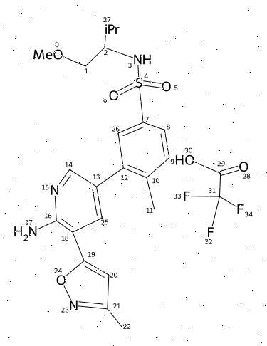 COCC(NS(=O)(=O)c1ccc(C)c(-c2cnc(N)c(-c3cc(C)no3)c2)c1)C(C)C.O=C(O)C(F)(F)F